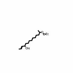 CC=CC(O)CCCCCCCCC(C)OOCC